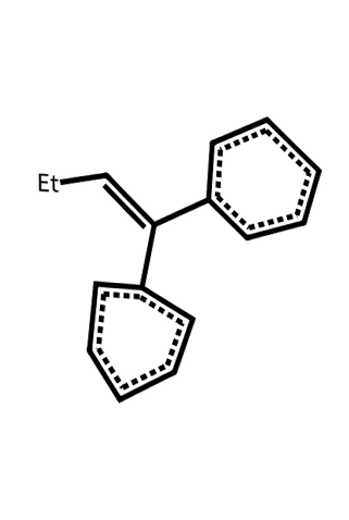 [CH2]CC=C(c1ccccc1)c1ccccc1